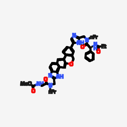 CCCN(Cc1nc2ccc3cc4c(cc3c2[nH]1)OCc1cc(-c2cnc(CN(CCC)C(=O)[C@H](NC(=O)CC)c3ccccc3)[nH]2)ccc1-4)C(=O)CNC(=O)OC